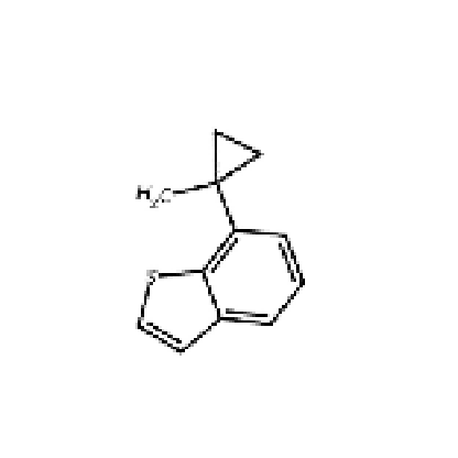 CC1(c2cccc3ccsc23)CC1